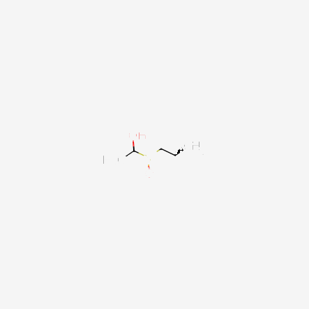 C=CC[S+]([O-])C(C)O